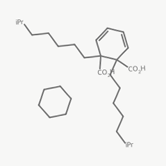 C1CCCCC1.CC(C)CCCCCC1(C(=O)O)C=CC=CC1(CCCCCC(C)C)C(=O)O